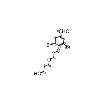 O=Cc1cc(Br)c(OCCOCCCO)c(Br)c1